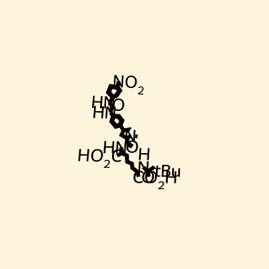 CN1CC(c2ccc(NC(=O)Nc3ccc([N+](=O)[O-])cc3)cc2)CC1C(=O)NC(CCCCC(NC(=O)CC(C)(C)C)C(=O)O)C(=O)O